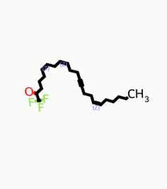 CCCCC/C=C\CCC#CCC/C=C\C/C=C\CCCC(=O)C(F)(F)F